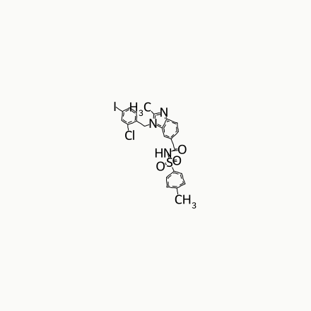 Cc1ccc(S(=O)(=O)NC(=O)c2ccc3nc(C)n(Cc4ccc(I)cc4Cl)c3c2)cc1